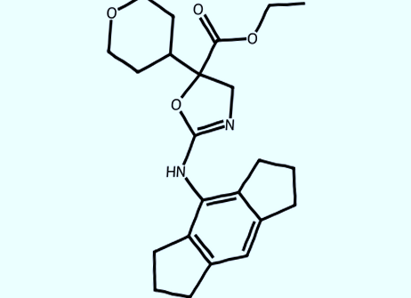 CCOC(=O)C1(C2CCOCC2)CN=C(Nc2c3c(cc4c2CCC4)CCC3)O1